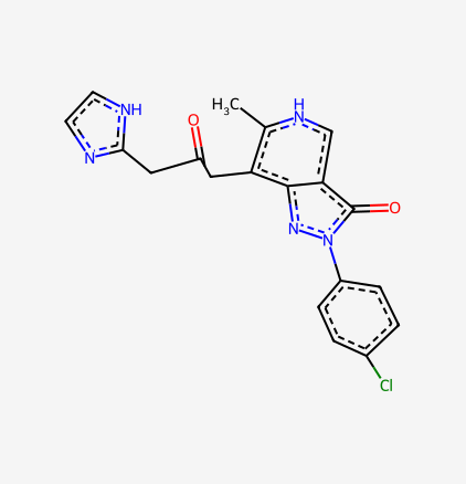 Cc1[nH]cc2c(=O)n(-c3ccc(Cl)cc3)nc-2c1CC(=O)Cc1ncc[nH]1